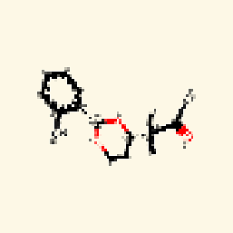 CCC(=O)C(C)(C)[C@@H]1CCO[C@H](c2ccccc2C#N)O1